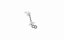 COC(=O)CCCCCCNC(=O)c1ccc2ccccc2c1